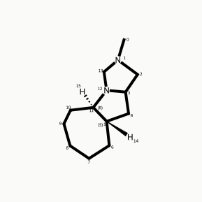 CN1CC2C[C@@H]3CCCCC[C@H]3N2C1